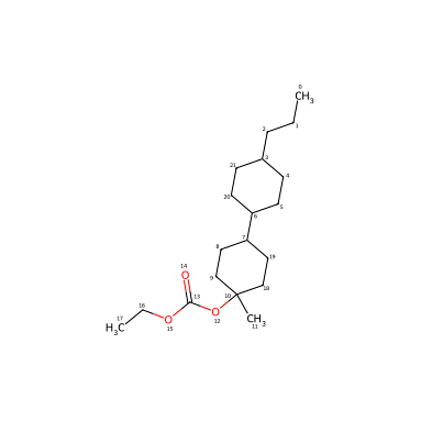 CCCC1CCC(C2CCC(C)(OC(=O)OCC)CC2)CC1